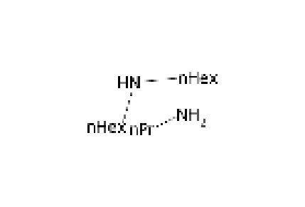 CCCCCCNCCCCCC.CCCN